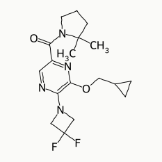 CC1(C)CCCN1C(=O)c1cnc(N2CC(F)(F)C2)c(OCC2CC2)n1